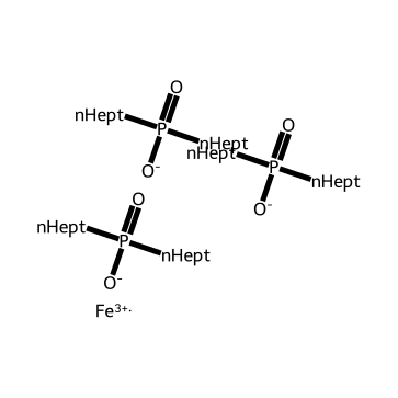 CCCCCCCP(=O)([O-])CCCCCCC.CCCCCCCP(=O)([O-])CCCCCCC.CCCCCCCP(=O)([O-])CCCCCCC.[Fe+3]